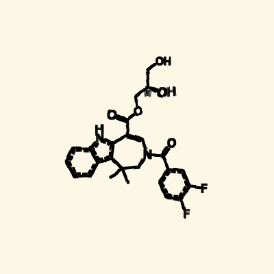 CC1(C)CN(C(=O)c2ccc(F)c(F)c2)C=C(C(=O)OC[C@H](O)CO)c2[nH]c3ccccc3c21